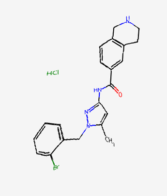 Cc1cc(NC(=O)c2ccc3c(c2)CCNC3)nn1Cc1ccccc1Br.Cl